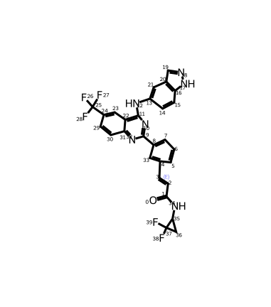 O=C(/C=C/c1cccc(-c2nc(Nc3ccc4[nH]ncc4c3)c3cc(C(F)(F)F)ccc3n2)c1)NC1CC1(F)F